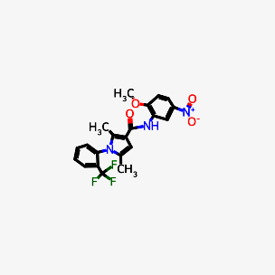 COc1ccc([N+](=O)[O-])cc1NC(=O)c1cc(C)n(-c2ccccc2C(F)(F)F)c1C